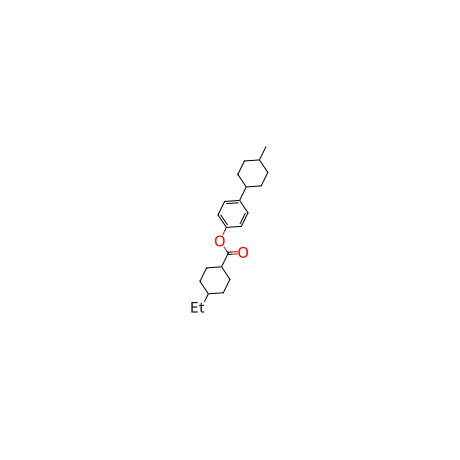 CCC1CCC(C(=O)Oc2ccc(C3CCC(C)CC3)cc2)CC1